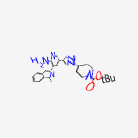 Cc1nc(-c2cc(-c3cnn(C4CCN(C(=O)OC(C)(C)C)CC4)c3)cnc2N)cc2ccccc12